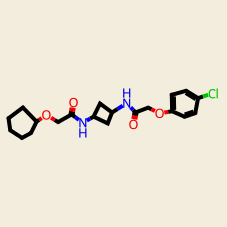 O=C(COc1ccc(Cl)cc1)NC1CC(NC(=O)COC2CCCCC2)C1